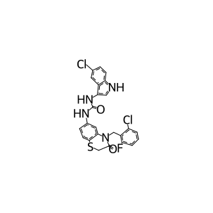 O=C(Nc1ccc2c(c1)N(Cc1c(F)cccc1Cl)C(=O)CS2)Nc1c[nH]c2ccc(Cl)cc12